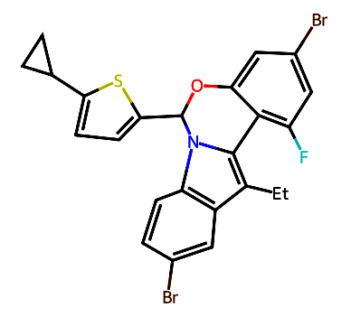 CCc1c2n(c3ccc(Br)cc13)C(c1ccc(C3CC3)s1)Oc1cc(Br)cc(F)c1-2